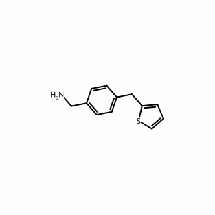 NCc1ccc(Cc2cccs2)cc1